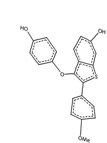 COc1ccc(-c2sc3cc(O)ccc3c2Oc2ccc(O)cc2)cc1